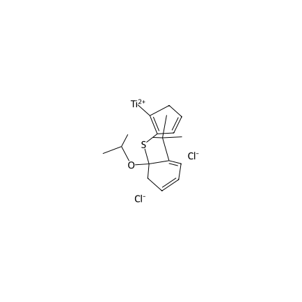 CC(C)OC1(SC2=[C]([Ti+2])CC=C2)CC=CC=C1C(C)(C)C.[Cl-].[Cl-]